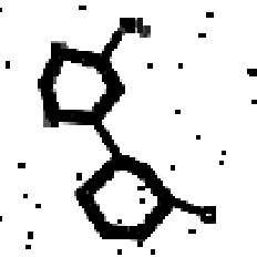 Nc1cc(-c2cccc(Cl)c2)ncn1